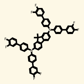 CC1(C)c2cc(N(c3ccc(-c4ccc(F)c(F)c4)cc3)c3ccc(-c4ccc(F)c(F)c4)cc3)ccc2-c2ccc(N(c3ccc(-c4ccc(F)c(F)c4)cc3)c3ccc(-c4ccc(F)c(F)c4)cc3)cc21